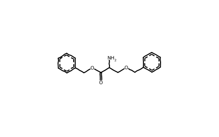 NC(COCc1ccccc1)C(=O)OCc1ccccc1